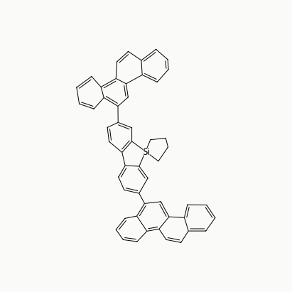 c1ccc2c(c1)ccc1c3ccccc3c(-c3ccc4c(c3)[Si]3(CCCC3)c3cc(-c5cc6c7ccccc7ccc6c6ccccc56)ccc3-4)cc21